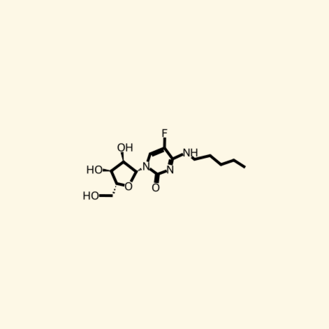 CCCCCNc1nc(=O)n([C@@H]2O[C@H](CO)[C@@H](O)[C@H]2O)cc1F